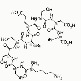 CC[C@H](C)[C@H](NC(=O)[C@H](CO)NC(=O)[C@H](CO)NC(=O)[C@H](CC(C)C)NC(=O)[C@@H](N)CCCCN)C(=O)N[C@@H](CCC(=O)O)C(=O)N[C@@H](CO)C(=O)N[C@@H](CC(=O)O)C(=O)N[C@H](C(=O)O)C(C)C